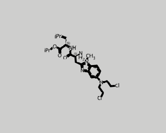 CC(C)C[C@H](NC(=O)[C@@H](N)Cc1nc2cc(N(CCCl)CCCl)ccc2n1C)C(=O)OC(C)C